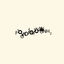 CC[C@H]1CN(c2ccc(-c3nnc(N)o3)nc2C)[C@H](C)CN1C1CCN(C(=O)c2ccc(C)c(F)c2)CC1